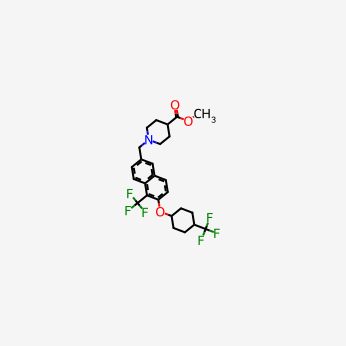 COC(=O)C1CCN(Cc2ccc3c(C(F)(F)F)c(OC4CCC(C(F)(F)F)CC4)ccc3c2)CC1